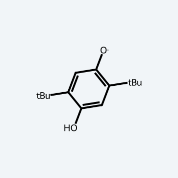 CC(C)(C)c1cc(O)c(C(C)(C)C)cc1[O]